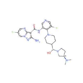 CN(C)[C@@H]1CCN(C(O)C2CCN(c3c(F)cncc3NC(=O)c3c(N)nn4cc(F)cnc34)CC2)C1